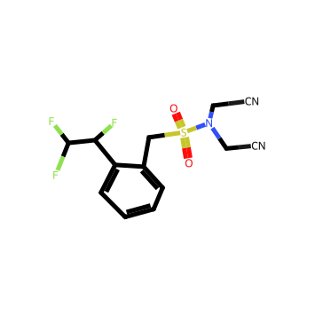 N#CCN(CC#N)S(=O)(=O)Cc1ccccc1C(F)C(F)F